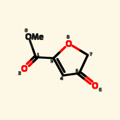 COC(=O)C1=CC(=O)CO1